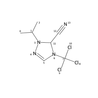 CC(C)N1N=CN(C(Cl)(Cl)Cl)C1C#N